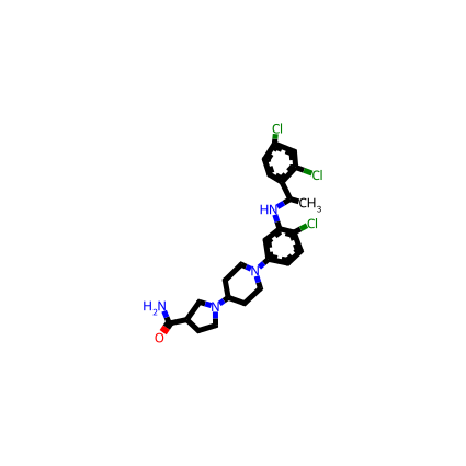 CC(Nc1cc(N2CCC(N3CCC(C(N)=O)C3)CC2)ccc1Cl)c1ccc(Cl)cc1Cl